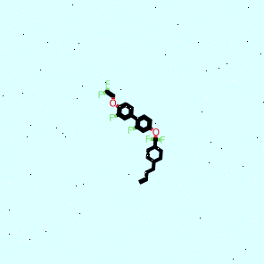 C=CCCC1CCC(C(F)(F)Oc2ccc(-c3ccc(OC=C(F)F)c(F)c3)c(F)c2)CC1